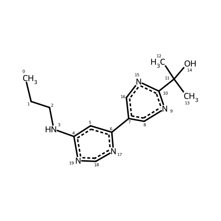 CCCNc1cc(-c2cnc(C(C)(C)O)nc2)ncn1